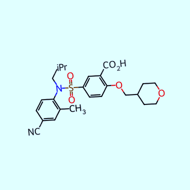 Cc1cc(C#N)ccc1N(CC(C)C)S(=O)(=O)c1ccc(OCC2CCOCC2)c(C(=O)O)c1